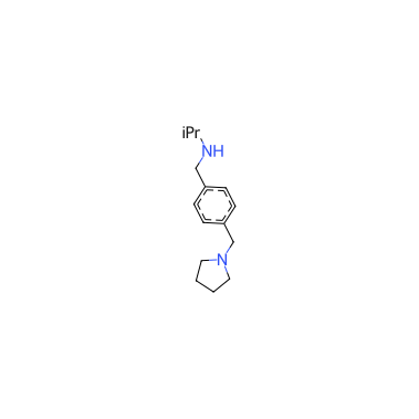 CC(C)NCc1ccc(CN2CCCC2)cc1